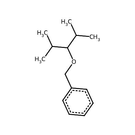 CC(C)C(OCc1ccccc1)C(C)C